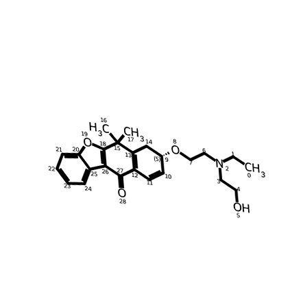 CCN(CCO)CCO[C@@H]1C=CC2=C(C1)C(C)(C)c1oc3ccccc3c1C2=O